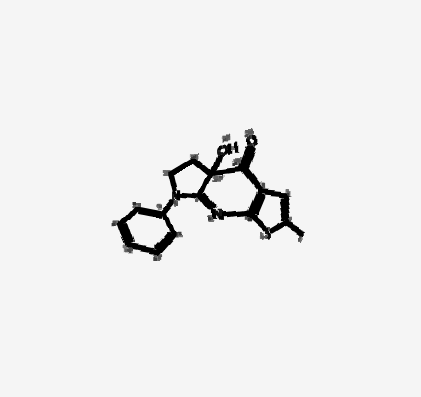 Cc1cc2c(s1)N=C1N(c3ccccc3)CCC1(O)C2=O